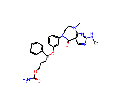 CCNc1ncc2c(n1)N(C)CCN(c1cccc(O[C@H](CCCOC(N)=O)c3ccccc3)c1)C2=O